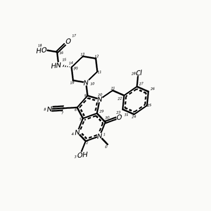 Cn1c(O)nc2c(C#N)c(N3CCC[C@@H](NC(=O)O)C3)n(Cc3ccccc3Cl)c2c1=O